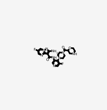 Nc1nn2cc(F)cnc2c1C(=O)Nc1cncc(F)c1N1CCN(C(=O)C2CNCCO2)CC1